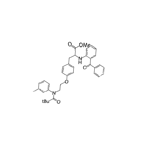 COC(=O)C(Cc1ccc(OCCN(C(=O)C(C)(C)C)c2cccc(C)c2)cc1)Nc1ccccc1C(=O)c1ccccc1